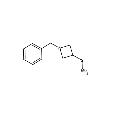 NSC1CN(Cc2ccccc2)C1